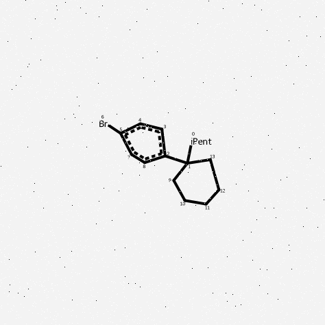 CCCC(C)C1(c2ccc(Br)cc2)CCCCC1